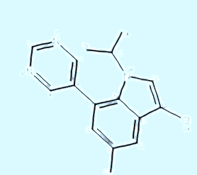 Cc1cc(-c2cncnc2)c2c(c1)c(Cl)cn2C(C)C